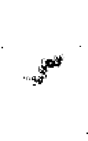 CN1C(=O)CCc2cc(-c3cncc(O[C@@H]4CCN(C(=O)OC(C)(C)C)C4)c3)c(F)cc21